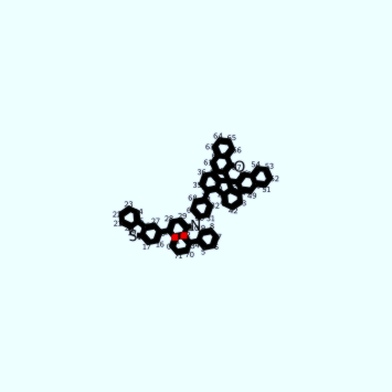 c1ccc(-c2ccccc2N(c2ccc(-c3ccc4sc5ccccc5c4c3)cc2)c2ccc(-c3cccc4c3-c3ccccc3C43c4ccc5ccccc5c4Oc4c3ccc3ccccc43)cc2)cc1